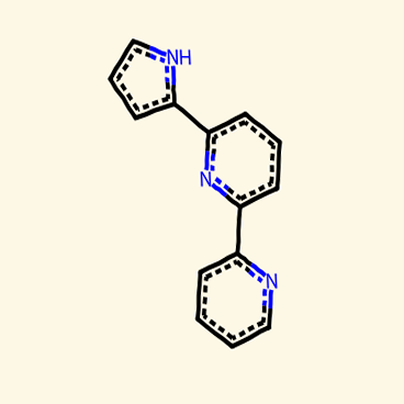 c1ccc(-c2cccc(-c3ccc[nH]3)n2)nc1